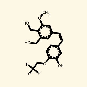 COc1cc(/C=C\c2ccc(OCC(F)(F)F)c(O)c2)cc(CO)c1CO